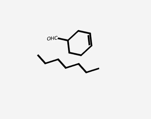 CCCCCCC.O=CC1CC=CCC1